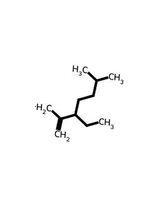 [CH2]C(=C)C(CC)CCC(C)C